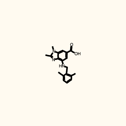 Cc1cccc(C)c1CNc1cc(C(=O)O)cc2c1nc(C)n2C